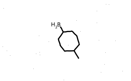 BC1CCCC(C)CCC1